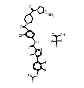 Cn1c(-c2ccc(OC(F)F)c(F)c2F)cnc1C(=O)Nc1ccc(C(=O)N2CCC(C(=O)N3CC[C@H](N)C3)CC2)c(Cl)c1.O=C(O)C(F)(F)F